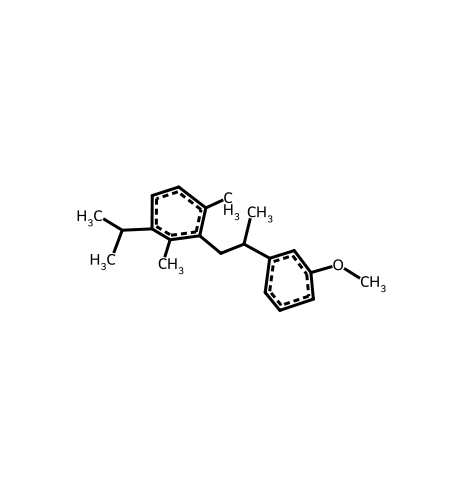 COc1cccc(C(C)Cc2c(C)ccc(C(C)C)c2C)c1